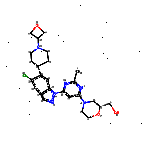 Cc1nc(N2CCO[C@@H](CO)C2)cc(-n2ncc3cc(Cl)c(C4CCN(C5COC5)CC4)cc32)n1